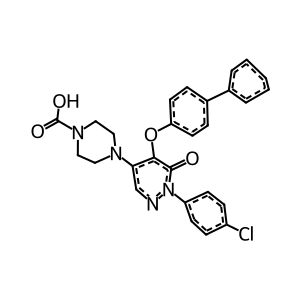 O=C(O)N1CCN(c2cnn(-c3ccc(Cl)cc3)c(=O)c2Oc2ccc(-c3ccccc3)cc2)CC1